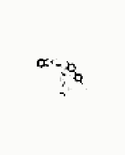 Cc1ccc(-c2ccc(C#N)cc2)cc1N(CC(=O)NCCNC(C)C)CC(=O)N(C)N1Cc2ccccc2C1